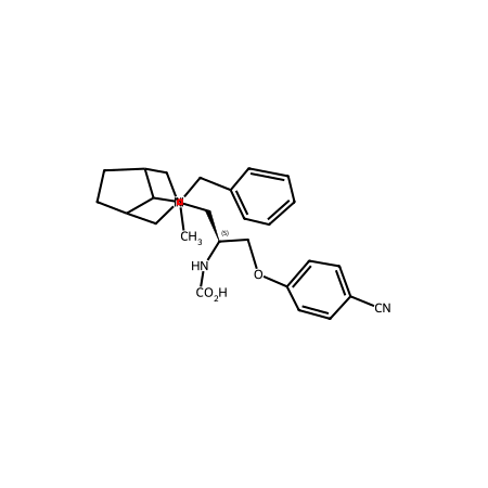 CN(Cc1ccccc1)C1C2CCC1CN(C[C@@H](COc1ccc(C#N)cc1)NC(=O)O)C2